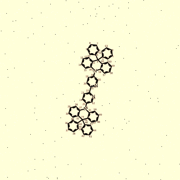 c1ccc(C2(c3ccccc3)c3ccccc3N(c3ccc(-c4ccc(N5c6ccccc6C(c6ccccc6)(c6ccccc6)c6ccccc65)cn4)nc3)c3ccccc32)cc1